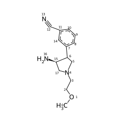 COCCN1CC(c2cccc(C#N)c2)[C@H](N)C1